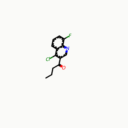 CCCC(=O)c1cnc2c(F)cccc2c1Cl